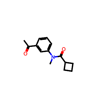 CC(=O)c1cccc(N(C)C(=O)C2CCC2)c1